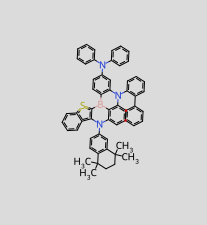 CC1(C)CCC(C)(C)c2cc(N3c4cccc5c4B(c4ccc(N(c6ccccc6)c6ccccc6)cc4N5c4ccccc4-c4ccccc4)c4sc5ccccc5c43)ccc21